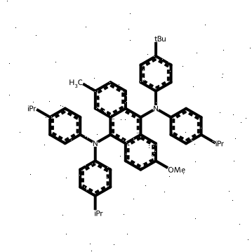 COc1ccc2c(N(c3ccc(C(C)C)cc3)c3ccc(C(C)C)cc3)c3cc(C)ccc3c(N(c3ccc(C(C)C)cc3)c3ccc(C(C)(C)C)cc3)c2c1